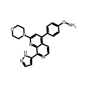 NOc1ccc(-c2cc(N3CCOCC3)nc3c(-c4ccn[nH]4)nccc23)cc1